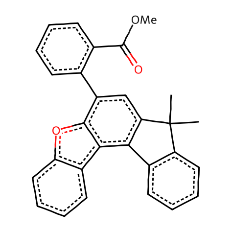 COC(=O)c1ccccc1-c1cc2c(c3c1oc1ccccc13)-c1ccccc1C2(C)C